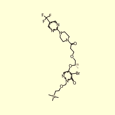 C[C@@H](COCCC(=O)N1CCN(c2ncc(C(F)(F)F)cn2)CC1)Oc1cnn(COCC[Si](C)(C)C)c(=O)c1Br